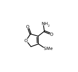 CSC1=C(C(N)=O)C(=O)OC1